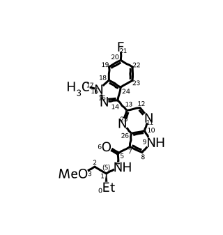 CC[C@@H](COC)NC(=O)c1c[nH]c2ncc(-c3nn(C)c4cc(F)ccc34)nc12